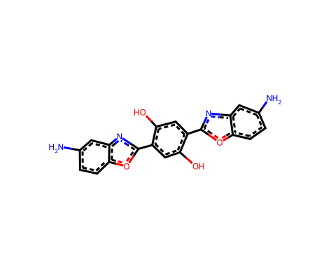 Nc1ccc2oc(-c3cc(O)c(-c4nc5cc(N)ccc5o4)cc3O)nc2c1